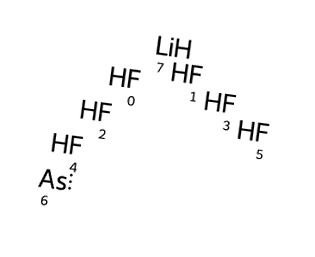 F.F.F.F.F.F.[As].[LiH]